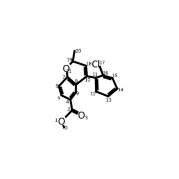 COC(=O)c1ccc2c(c1)C(c1ccccc1Cl)=CC(C)O2